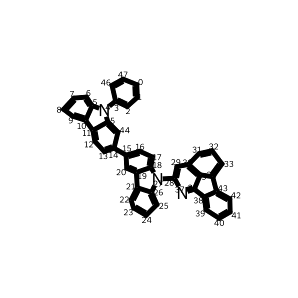 c1ccc(-n2c3ccccc3c3ccc(-c4ccc5c(c4)c4ccccc4n5-c4cc5cccc6c5c(n4)-c4ccccc4-6)cc32)cc1